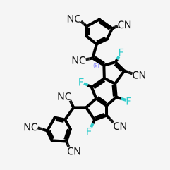 N#CC1=C(F)/C(=C(/C#N)c2cc(C#N)cc(C#N)c2)c2c(F)c3c(c(F)c21)C(C#N)=C(F)C3C(C#N)c1cc(C#N)cc(C#N)c1